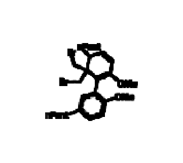 CCCCCc1ccc(OC)c(C2=C(OC)C=CC(CCCCC)C2(CBr)CBr)c1